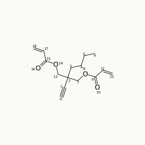 C#CC(CCCC)(COC(=O)C=C)COC(=O)C=C